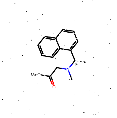 COC(=O)CN(C)[C@@H](C)c1cccc2ccccc12